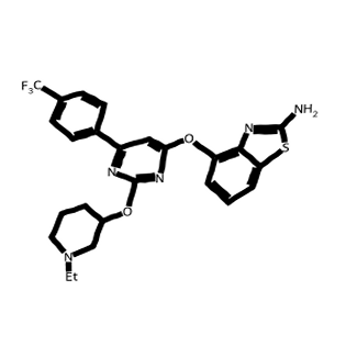 CCN1CCCC(Oc2nc(Oc3cccc4sc(N)nc34)cc(-c3ccc(C(F)(F)F)cc3)n2)C1